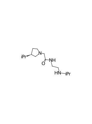 CC(C)NCCNC(=O)CN1CC[C@H](C(C)C)C1